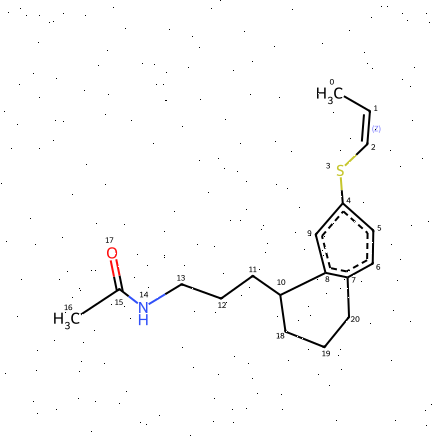 C/C=C\Sc1ccc2c(c1)C(CCCNC(C)=O)CCC2